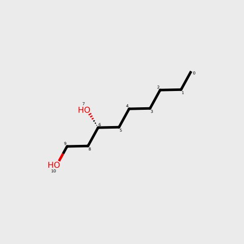 CCCCCC[C@@H](O)CCO